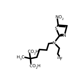 CC(CCCCN(CC[18F])c1ncc([N+](=O)[O-])s1)(C(=O)O)C(=O)O